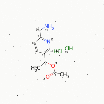 CC(=O)OC(C)c1ccc(CN)nc1.Cl.Cl